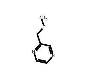 NOCc1cnccn1